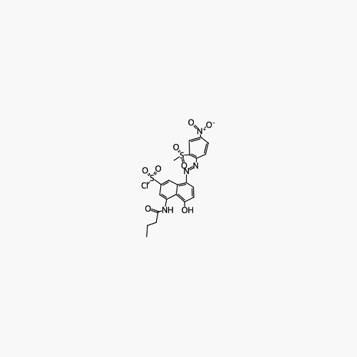 CCCC(=O)Nc1cc(S(=O)(=O)Cl)cc2c(N=Nc3ccc([N+](=O)[O-])cc3S(C)(=O)=O)ccc(O)c12